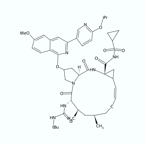 COc1ccc2c(OC3C[C@H]4C(=O)N[C@]5(C(=O)NS(=O)(=O)C6CC6)CC5/C=C\CC[C@@H](C)C[C@@H](C)[C@H](NC(=O)NC(C)(C)C)C(=O)N4C3)nc(-c3ccc(OC(C)C)nc3)cc2c1